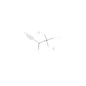 CC(C)(C)C([S])C#N